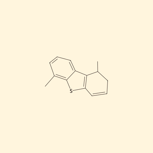 Cc1cccc2c3c(sc12)C=CCC3C